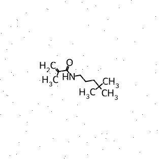 C=C(C)C(=O)NCCCC(C)(C)C